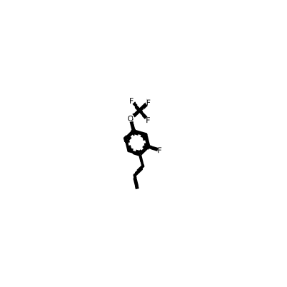 CCCc1ccc(OC(F)(F)F)cc1F